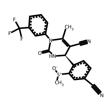 CC1=C(C#N)[C@@H](c2ccc(C#N)cc2[S+](C)[O-])NC(=O)N1c1cccc(C(F)(F)F)c1